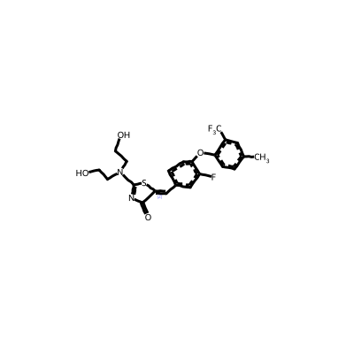 Cc1ccc(Oc2ccc(/C=C3\SC(N(CCO)CCO)=NC3=O)cc2F)c(C(F)(F)F)c1